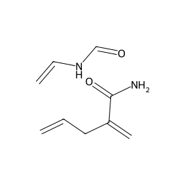 C=CCC(=C)C(N)=O.C=CNC=O